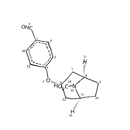 O=Cc1ccc(O[C@@H]2C[C@H]3CC[C@@H](C2)N3C(=O)O)cc1